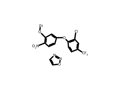 CCOc1cc(Oc2ccc(C(F)(F)F)cc2Cl)ccc1[N+](=O)[O-].c1conn1